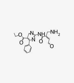 CCOC(=O)c1cnc(NC(=O)/C(=C\C=O)CN)nc1-c1ccccc1